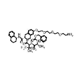 C[C@@H](C(=O)N[C@H](C(=O)N1Cc2cc(OCCOCCOCCOCCN)ccc2C[C@H]1C(=O)N[C@@H]1CCCc2ccccc21)C(C)(C)C)N(C)C(=O)OCc1ccccc1